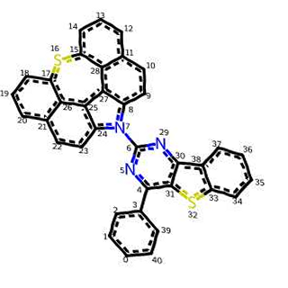 c1ccc(-c2nc(-n3c4ccc5cccc6sc7cccc8ccc3c(c87)c4c56)nc3c2sc2ccccc23)cc1